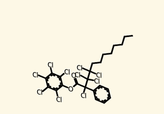 CCCCCCCCC(Cl)(Cl)C(Cl)(Cl)C(Cl)(C(=O)Oc1c(Cl)c(Cl)c(Cl)c(Cl)c1Cl)c1ccccc1